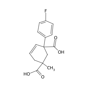 CC1(C(=O)O)CC=CC(C(=O)O)(c2ccc(F)cc2)C1